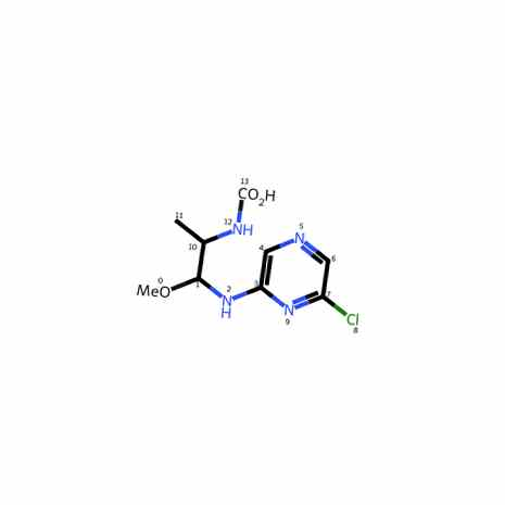 COC(Nc1cncc(Cl)n1)C(C)NC(=O)O